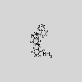 CCCSc1ccccc1-c1nnc2ccc(Sc3ccccc3CN)cn12